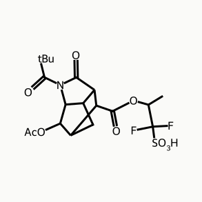 CC(=O)OC1C2CC3C(C(=O)N(C(=O)C(C)(C)C)C31)C2C(=O)OC(C)C(F)(F)S(=O)(=O)O